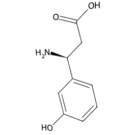 N[C@@H](CC(=O)O)c1cccc(O)c1